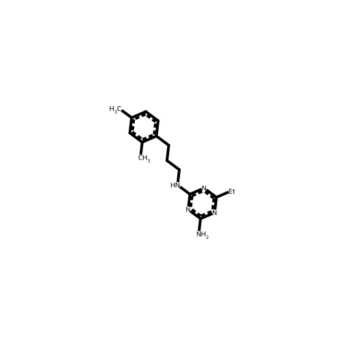 CCc1nc(N)nc(NCCCc2ccc(C)cc2C)n1